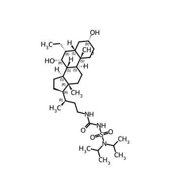 CC[C@H]1[C@@H](O)[C@@H]2[C@H](CC[C@]3(C)[C@@H]([C@H](C)CCNC(=O)NS(=O)(=O)N(C(C)C)C(C)C)CC[C@@H]23)[C@@]2(C)CC[C@@H](O)C[C@@H]12